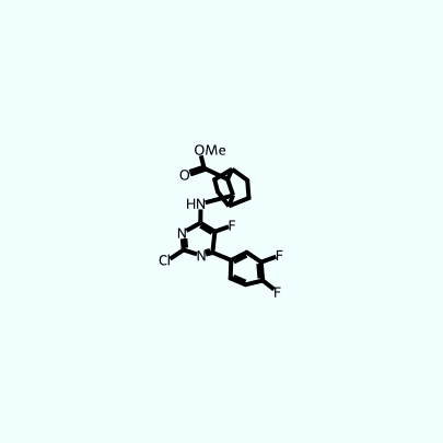 COC(=O)C1C2CCC(CC2)C1Nc1nc(Cl)nc(-c2ccc(F)c(F)c2)c1F